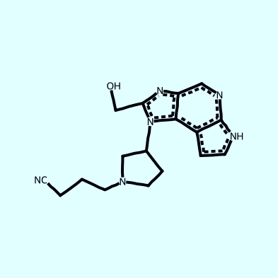 N#CCCCN1CCC(n2c(CO)nc3cnc4[nH]ccc4c32)C1